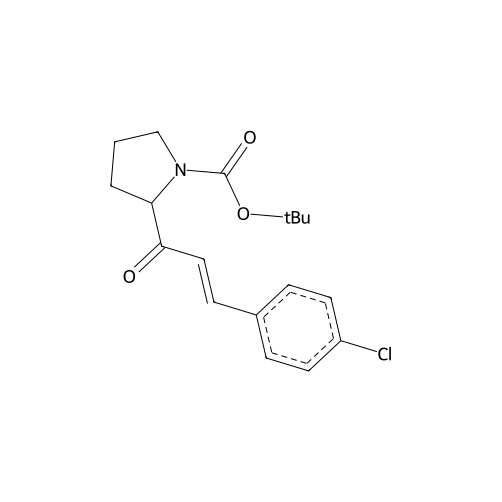 CC(C)(C)OC(=O)N1CCCC1C(=O)C=Cc1ccc(Cl)cc1